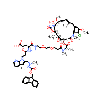 COc1cc2cc(c1Cl)N(C)C(=O)C[C@H](OC(=O)[C@H](C)N(C)C(=O)CCOCCOCCNC(=O)[C@H](CCC(=O)O)NC(=O)CCn1c(CN(C)N(C)C(=O)OCC3c4ccccc4-c4ccccc43)cc3cccnc31)[C@@]1(C)O[C@H]1[C@H](C)[C@@H]1C[C@@](O)(NC(=O)O1)[C@H](OC)/C=C/C=C(\C)C2